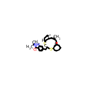 CC(C)NC(=O)c1ccc(CC2CSC3CCCCC[C@H](CC[C@@H](C)C4CCCC[C@H](CC4)SC2)C3)cc1